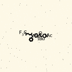 CC(=O)N1CCC(CC(=O)N2CCN(C(/C(C)=C/C=C(\C)C(F)(F)F)c3ccccc3)C[C@@H]2C(C)(C)C)CC1